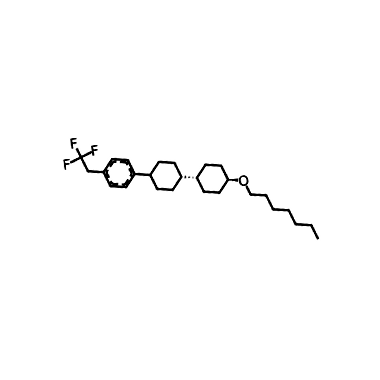 CCCCCCCO[C@H]1CC[C@H](C2CCC(c3ccc(CC(F)(F)F)cc3)CC2)CC1